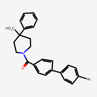 CC(=O)c1ccc(-c2ccc(C(=O)N3CCC(C(=O)O)(c4ccccc4)CC3)cc2)cc1